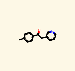 Cc1ccc(C(=O)Cc2cccnc2)cc1